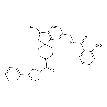 O=Cc1ccccc1C(=O)NCc1ccc2c(c1)C1(CCN(C(=O)c3ccc(-c4ccccc4)o3)CC1)CN2S(=O)(=O)O